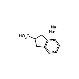 O=C(O)C1Cc2ccccc2C1.[Na].[Na]